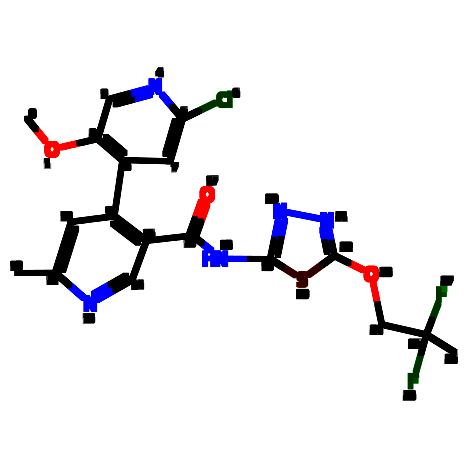 COc1cnc(Cl)cc1-c1cc(C)ncc1C(=O)Nc1nnc(OCC(C)(F)F)s1